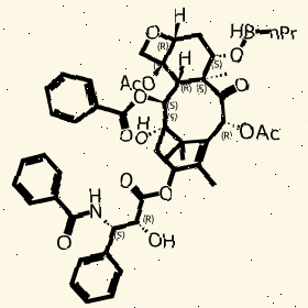 CCCBO[C@H]1C[C@H]2OC[C@@]2(OC(C)=O)[C@H]2[C@H](OC(=O)c3ccccc3)[C@]3(O)CC(OC(=O)[C@H](O)[C@@H](NC(=O)c4ccccc4)c4ccccc4)C(C)=C([C@@H](OC(C)=O)C(=O)[C@]12C)C3(C)C